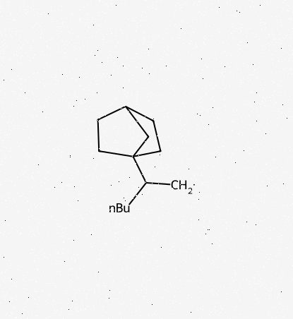 [CH2]C(CCCC)C12CCC(CC1)C2